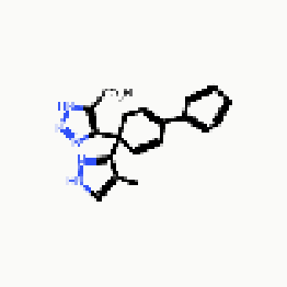 Cc1c[nH]nc1C1(c2nn[nH]c2C(=O)O)C=CC(c2ccccc2)=CC1